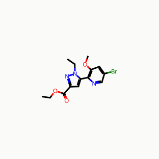 CCOC(=O)c1cc(-c2ncc(Br)cc2OC)n(CC)n1